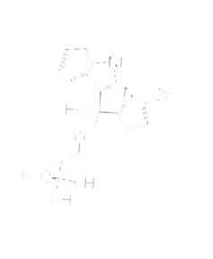 C[Si](C)(C)CCOC[C@](O)(c1nc(Br)cs1)c1c[nH]c2ccccc12